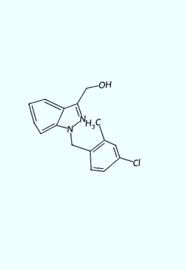 Cc1cc(Cl)ccc1Cn1nc(CO)c2ccccc21